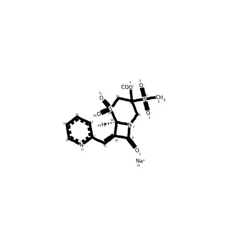 CS(=O)(=O)C1(C(=O)[O-])CN2C(=O)C(=Cc3ccccn3)[C@H]2S(=O)(=O)C1.[Na+]